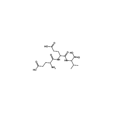 CC(C)C(NC(=O)C(CCC(=O)O)NC(=O)C(N)CCC(=O)O)C(=O)O